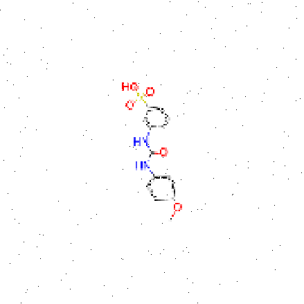 COc1ccc(NC(=O)Nc2cccc(S(=O)(=O)O)c2)cc1